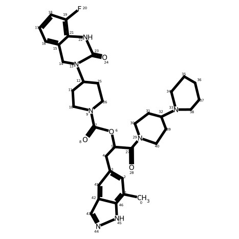 Cc1cc(CC(OC(=O)N2CCC(N3Cc4cccc(F)c4NC3=O)CC2)C(=O)N2CCC(N3CCCCC3)CC2)cc2cn[nH]c12